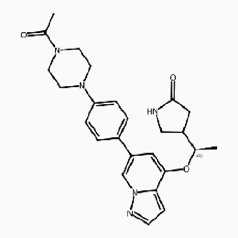 CC(=O)N1CCN(c2ccc(-c3cc(O[C@H](C)C4CNC(=O)C4)c4ccnn4c3)cc2)CC1